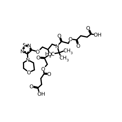 CC(C)(C)N(CC(COc1nsnc1N1CCOCC1)OC(=O)COC(=O)CCC(=O)O)C(=O)COC(=O)CCC(=O)O